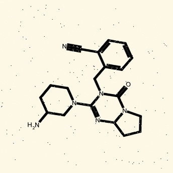 N#Cc1ccccc1CN1C(=O)N2CCCC2N=C1N1CCCC(N)C1